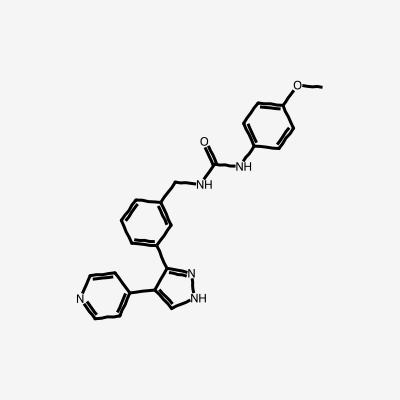 COc1ccc(NC(=O)NCc2cccc(-c3n[nH]cc3-c3ccncc3)c2)cc1